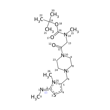 C/N=c1\scc(CN2CCN(C(=O)CN(C)C(=O)OC(C)(C)C)CC2)n1C